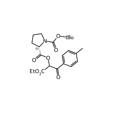 CCOC(=O)C(OC(=O)[C@@H]1CCCN1C(=O)OC(C)(C)C)C(=O)c1ccc(C)cc1